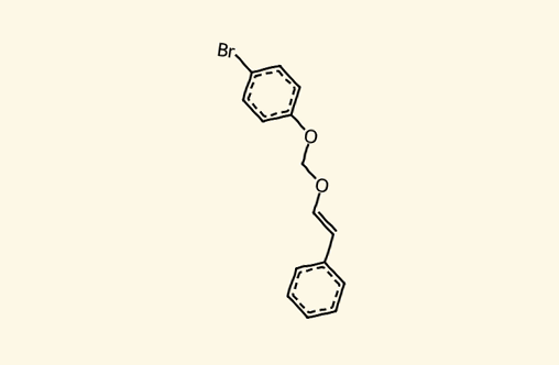 Brc1ccc(OCOC=Cc2ccccc2)cc1